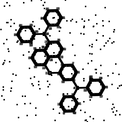 c1ccc(B(c2ccc3c(c2)Oc2cccc4c(B(c5ccccc5)c5ccccn5)ccc-3c24)c2ccccn2)cc1